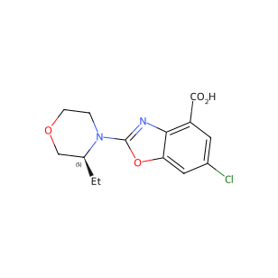 CC[C@H]1COCCN1c1nc2c(C(=O)O)cc(Cl)cc2o1